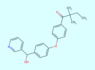 CCC(C)(C)C(=O)c1ccc(Oc2ccc(C(O)c3cccnc3)cc2)cc1